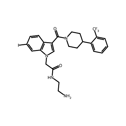 NCCNC(=O)Cn1cc(C(=O)N2CCC(c3ccccc3C(F)(F)F)CC2)c2ccc(I)cc21